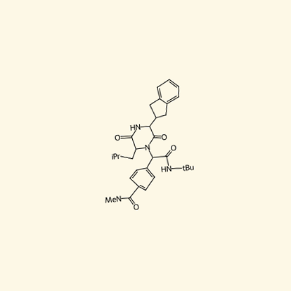 CNC(=O)c1ccc(C(C(=O)NC(C)(C)C)N2C(=O)C(C3Cc4ccccc4C3)NC(=O)C2CC(C)C)cc1